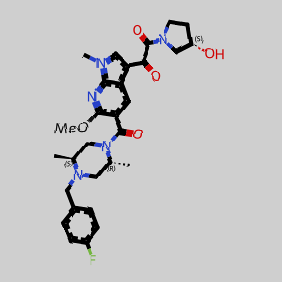 COc1nc2c(cc1C(=O)N1C[C@H](C)N(Cc3ccc(F)cc3)C[C@H]1C)c(C(=O)C(=O)N1CC[C@H](O)C1)cn2C